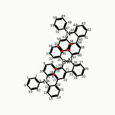 c1ccc(N(c2ccccc2)c2ccccc2-c2ccc3c(c2)-c2ccccc2N2B3c3ccccc3-c3cc(-c4ccccc4N(c4ccccc4)c4ccccc4)ccc32)cc1